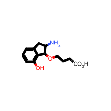 NC1Cc2cccc(O)c2C1OCCCC(=O)O